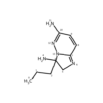 CCCC1(N)CN=C2C=CC(N)=NN21